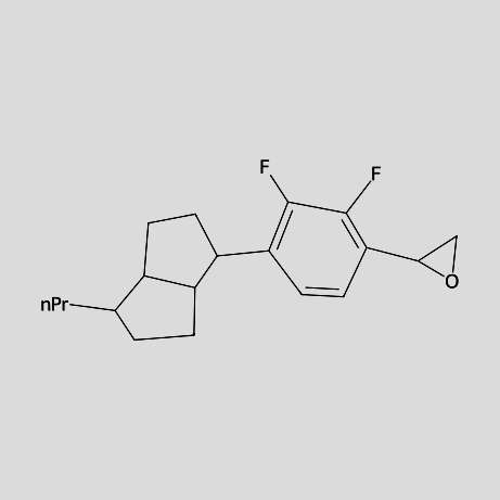 CCCC1CCC2C(c3ccc(C4CO4)c(F)c3F)CCC12